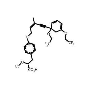 CCO[C@@H](Cc1ccc(OC/C=C(/C)C#CC2(OCC(F)(F)F)C=CC=C(OCC(F)(F)F)C2)cc1)C(=O)O